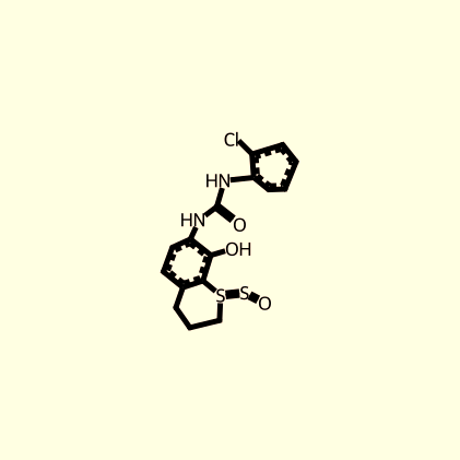 O=S=S1CCCc2ccc(NC(=O)Nc3ccccc3Cl)c(O)c21